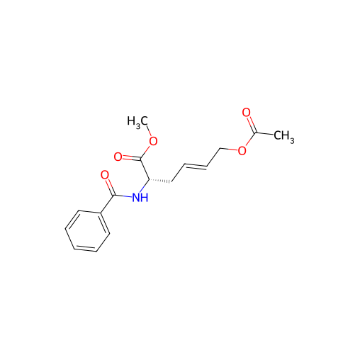 COC(=O)[C@H](CC=CCOC(C)=O)NC(=O)c1ccccc1